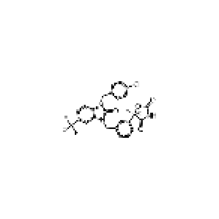 C[C@]1(c2cccc(Cn3c(=O)n(Cc4ccc(Cl)cc4)c4ccc(C(F)(F)F)cc43)c2)OC(=O)NC1=O